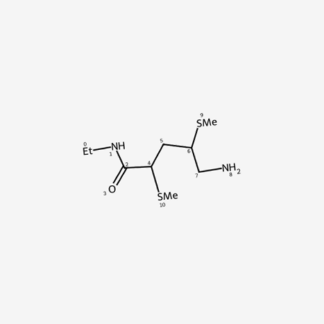 CCNC(=O)C(CC(CN)SC)SC